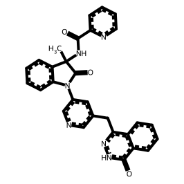 CC1(NC(=O)c2ccccn2)C(=O)N(c2cncc(Cc3n[nH]c(=O)c4ccccc34)c2)c2ccccc21